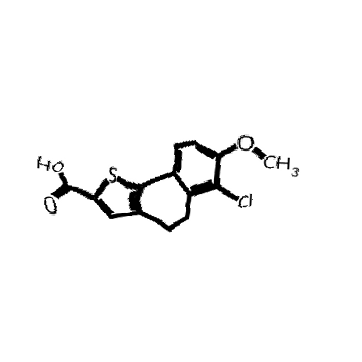 COc1ccc2c(c1Cl)CCc1cc(C(=O)O)sc1-2